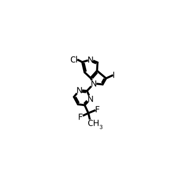 CC(F)(F)c1ccnc(-n2cc(I)c3cnc(Cl)cc32)n1